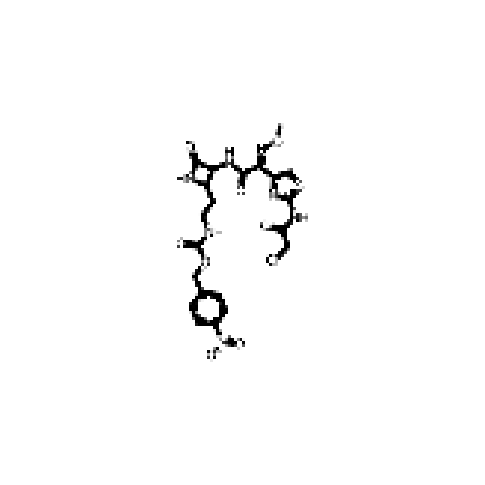 CON=C(C(=O)NC1C(=O)NC1CCNC(=O)OCc1ccc([N+](=O)[O-])cc1)c1csc(NC(=O)CCl)n1